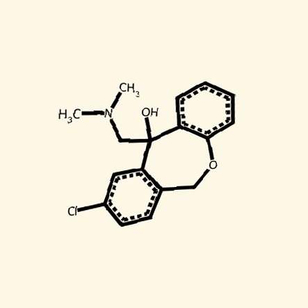 CN(C)CC1(O)c2cc(Cl)ccc2COc2ccccc21